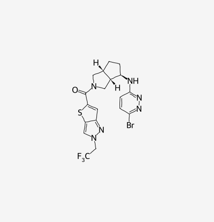 O=C(c1cc2nn(CC(F)(F)F)cc2s1)N1C[C@@H]2CC[C@@H](Nc3ccc(Br)nn3)[C@@H]2C1